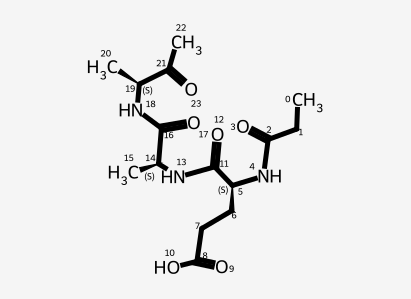 CCC(=O)N[C@@H](CCC(=O)O)C(=O)N[C@@H](C)C(=O)N[C@@H](C)C(C)=O